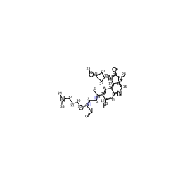 C=N/C(=C\C=C(/C)c1cc2c(cc1F)ncc1c2n([C@H]2C[C@@H](OC)C2)c(=O)n1C)OCCCN(C)C